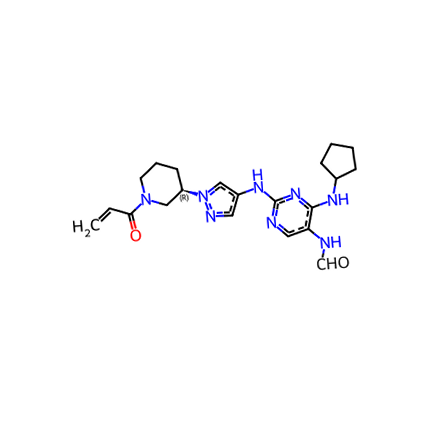 C=CC(=O)N1CCC[C@@H](n2cc(Nc3ncc(NC=O)c(NC4CCCC4)n3)cn2)C1